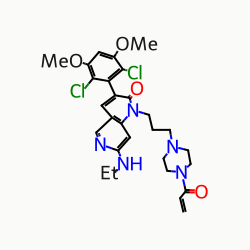 C=CC(=O)N1CCN(CCCn2c(=O)c(-c3c(Cl)c(OC)cc(OC)c3Cl)cc3cnc(NCC)cc32)CC1